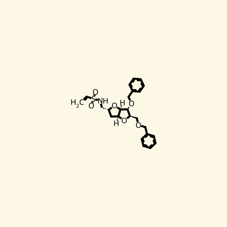 C=CS(=O)(=O)NC[C@H]1C[C@@H]2O[C@H](COCc3ccccc3)[C@@H](OCc3ccccc3)[C@@H]2O1